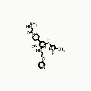 [C-]#[N+]c1c(C2CCN(C(=O)CNC)CC2)cc(Nc2cc(C)[nH]n2)nc1NCCOc1cccnc1